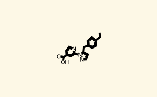 CCc1ccc(Cc2ccnn2-c2cc(C(=O)O)ccn2)cc1